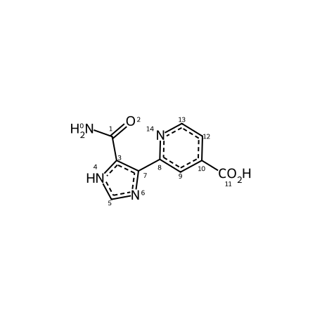 NC(=O)c1[nH]cnc1-c1cc(C(=O)O)ccn1